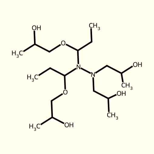 CCC(OCC(C)O)N(C(CC)OCC(C)O)N(CC(C)O)CC(C)O